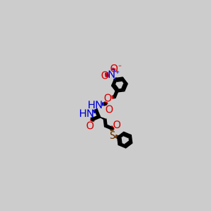 O=C(N[C@H]1NC(=O)[C@@H]1CCC(=O)Sc1ccccc1)OCc1cccc([N+](=O)[O-])c1